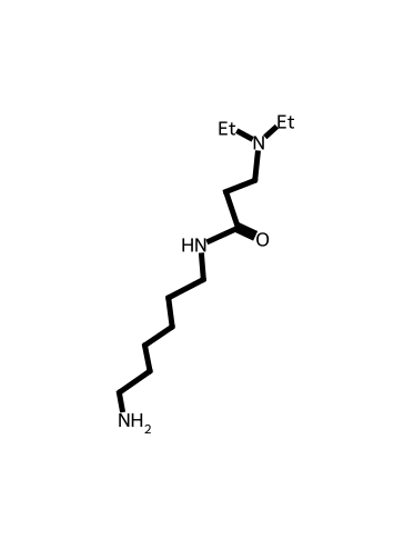 CCN(CC)CCC(=O)NCCCCCCN